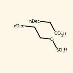 CCCCCCCCCCCC(=O)O.CCCCCCCCCCCCOS(=O)(=O)O